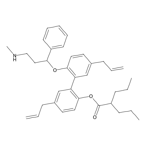 C=CCc1ccc(OC(=O)C(CCC)CCC)c(-c2cc(CC=C)ccc2OC(CCNC)c2ccccc2)c1